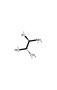 CC[C@@H](N)[C@H](C)O